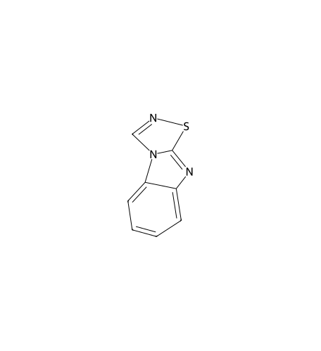 c1ccc2c(c1)nc1sncn12